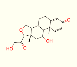 CC12C=CC(=O)C=C1CCC1C2C(O)C[C@]2(C)C(C(=O)CO)OCC12